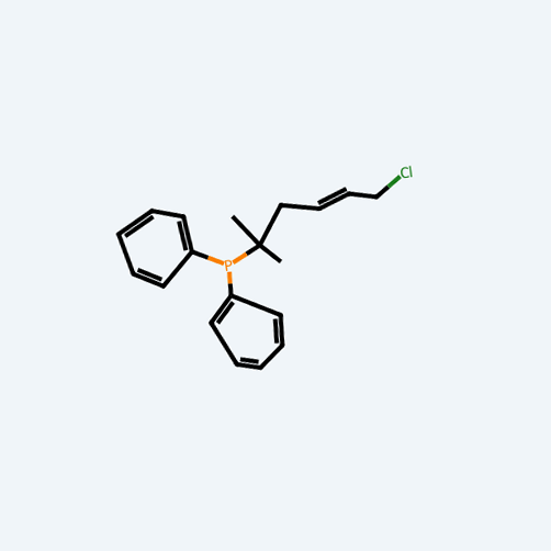 CC(C)(CC=CCCl)P(c1ccccc1)c1ccccc1